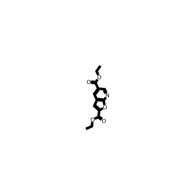 CCOC(=O)c1cnc2oc(C(=O)OCC)cc2c1